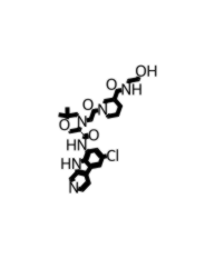 CC1(C)CN(CC(=O)N2CCCC(C(=O)NCCO)C2)[C@H](C(=O)Nc2cc(Cl)cc3c2[nH]c2cnccc23)CO1